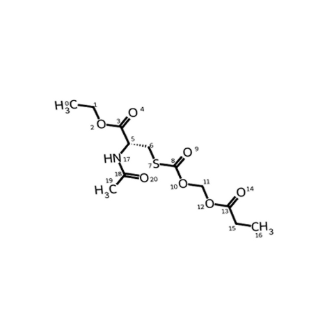 CCOC(=O)[C@H](CSC(=O)OCOC(=O)CC)NC(C)=O